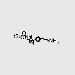 CC(C)(C)OC(=O)NCc1cnc(-c2ccc(CCCCN)cc2)s1